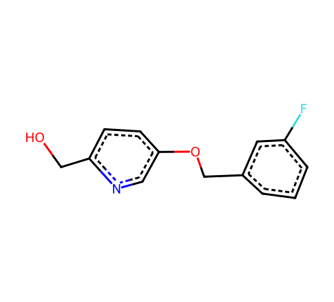 OCc1ccc(OCc2cccc(F)c2)cn1